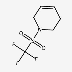 O=S(=O)(N1CC=CCC1)C(F)(F)F